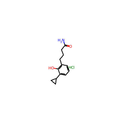 Cl.NC(=O)CCCc1cccc(C2CC2)c1O